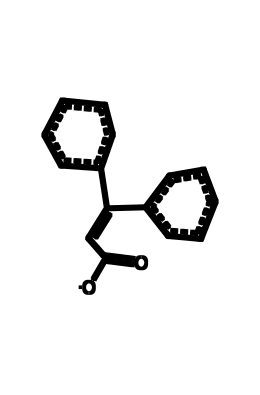 [O]C(=O)C=C(c1ccccc1)c1ccccc1